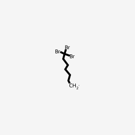 [CH2]CCCCCC(Br)(Br)Br